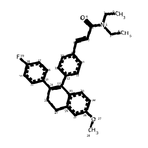 CCN(CC)C(=O)C=Cc1ccc(C2=C(c3ccc(F)cc3)CCc3cc(OC)ccc32)cc1